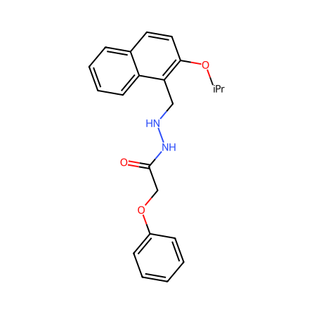 CC(C)Oc1ccc2ccccc2c1CNNC(=O)COc1ccccc1